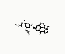 CC(=O)O[C@H]1C(C)O[C@H](OCc2cc(O)c3c(c2)C(=O)c2cccc(O)c2C3=O)C[C@H]1N=[N+]=[N-]